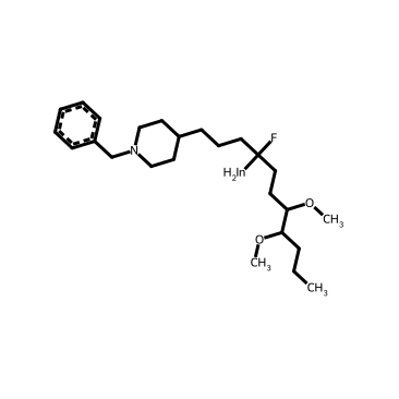 CCCC(OC)C(CC[C](F)([InH2])CCCC1CCN(Cc2ccccc2)CC1)OC